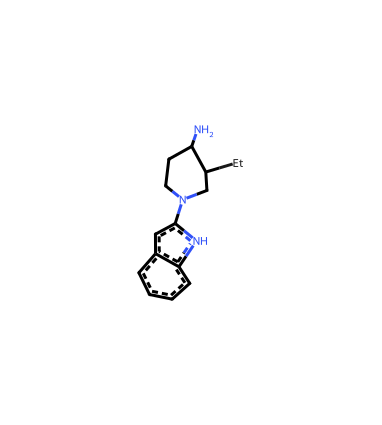 CCC1CN(c2cc3ccccc3[nH]2)CCC1N